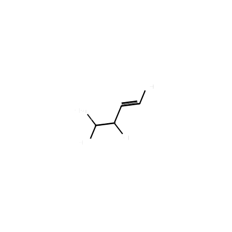 CC=CC(C)C(C)CCCC